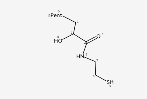 CCCCCCC(O)C(=O)NCCS